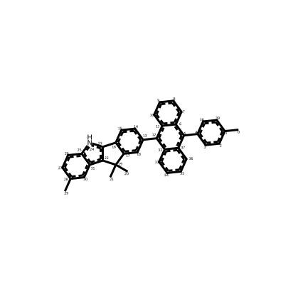 Cc1ccc(-c2c3ccccc3c(-c3ccc4c(c3)C(C)(C)c3c-4[nH]c4ccc(C)cc34)c3ccccc23)cc1